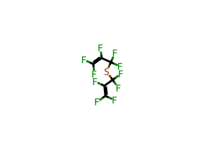 FC(F)=C(F)C(F)(F)SC(F)(F)C(F)=C(F)F